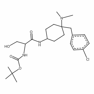 CN(C)C1(Cc2ccc(Cl)cc2)CCC(NC(=O)C(CO)NC(=O)OC(C)(C)C)CC1